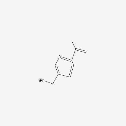 C=C(C)c1ccc(CC(C)C)cn1